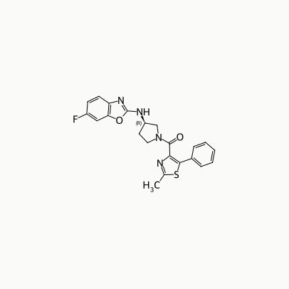 Cc1nc(C(=O)N2CC[C@@H](Nc3nc4ccc(F)cc4o3)C2)c(-c2ccccc2)s1